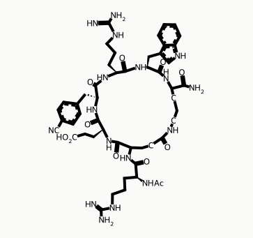 CC(=O)N[C@@H](CCCNC(=N)N)C(=O)NC1CCC(=O)NCCCC(C(N)=O)NC(=O)[C@H](Cc2c[nH]c3ccccc23)NC(=O)[C@H](CCCNC(=N)N)NC(=O)[C@@H](Cc2ccc(C#N)cc2)NC(=O)[C@H](CCC(=O)O)NC1=O